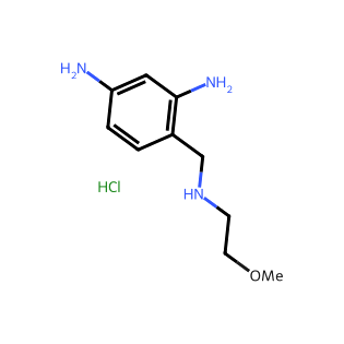 COCCNCc1ccc(N)cc1N.Cl